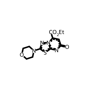 CCOC(=O)c1cc(=O)nc2sc(N3CCOCC3)nn12